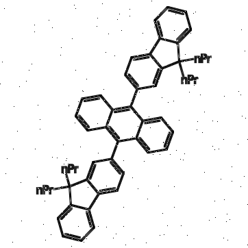 CCCC1(CCC)c2ccccc2-c2ccc(-c3c4ccccc4c(-c4ccc5c(c4)C(CCC)(CCC)c4ccccc4-5)c4ccccc34)cc21